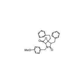 COc1ccc(CN2C(=O)C(Cc3ccccc3)C3(CCc4ccccc4)OC(=O)C23)cc1